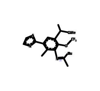 CCC(C)/C(C)=N\c1c(C)c(-c2nccs2)cc(C(C)OC)c1OC(F)(F)F